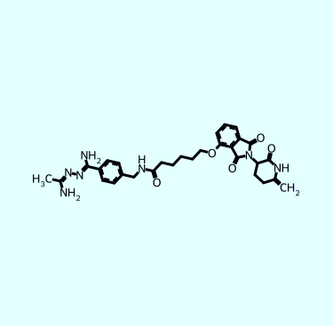 C=C1CCC(N2C(=O)c3cccc(OCCCCCC(=O)NCc4ccc(/C(N)=N/N=C(/C)N)cc4)c3C2=O)C(=O)N1